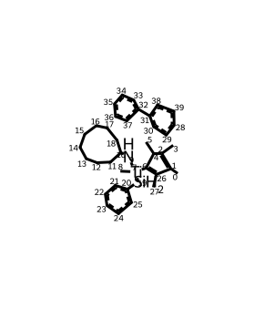 CC1=C(C)C(C)[C]([Ti]([CH3])([NH]C2CCCCCCCC2)[SiH2]c2ccccc2)=C1C.c1ccc(-c2ccccc2)cc1